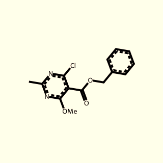 COc1nc(C)nc(Cl)c1C(=O)OCc1ccccc1